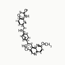 COc1ccc2ncc(Cl)c(CC(O)C34CCC(NCc5ccc6c(n5)NC(=O)CO6)(CC3)CC4)c2n1